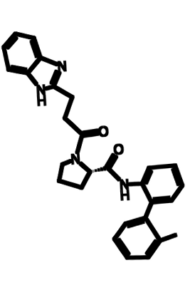 Cc1ccccc1-c1ccccc1NC(=O)[C@@H]1CCCN1C(=O)CCc1nc2ccccc2[nH]1